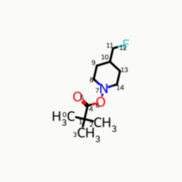 CC(C)(C)C(=O)ON1CCC(CF)CC1